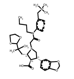 CCCCN(C(=O)CN1C[C@H](c2ccc3c(c2)OCO3)[C@@H](C(=O)O)[C@@H]1CC(C)(C)C1OCCO1)c1cccc(C[N+](C)(C)C)c1